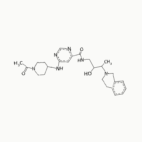 CC(=O)N1CCC(Nc2cc(C(=O)NCC(O)C(C)N3CCc4ccccc4C3)ncn2)CC1